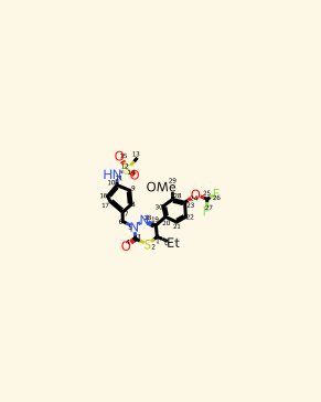 CCC1SC(=O)N(Cc2ccc(NS(C)(=O)=O)cc2)N=C1c1ccc(OC(F)F)c(OC)c1